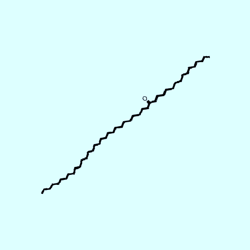 CCCCCCCCCCCCCCCCCCCCCCCCCCCCCC(=O)CCCCCCCCCCCCCCC